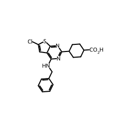 O=C(O)C1CCC(c2nc(NCc3ccccc3)c3cc(Cl)sc3n2)CC1